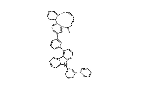 C=C1/C=C\C=C/Cc2ccccc2-c2ccc(-c3cccc(-c4cccc5c4c4ccccc4n5-c4cccc(-c5ccccc5)c4)c3)cc21